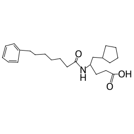 O=C(O)CCC(CC1CCCC1)NC(=O)CCCCCCc1ccccc1